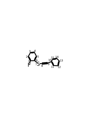 Fc1ccccc1SC#Cc1ccccc1